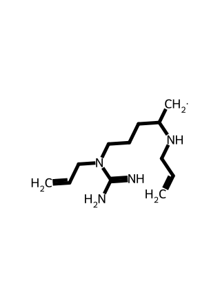 [CH2]C(CCCN(CC=C)C(=N)N)NCC=C